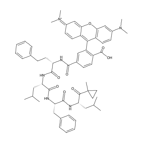 CC(C)C[C@H](NC(=O)[C@H](CCc1ccccc1)NC(=O)c1ccc(C(=O)O)c(-c2c3ccc(=[N+](C)C)cc-3oc3cc(N(C)C)ccc23)c1)C(=O)N[C@@H](Cc1ccccc1)C(=O)N[C@@H](CC(C)C)C(=O)C1(C)CC1